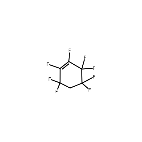 FC1=C(F)C(F)(F)C(F)(F)CC1(F)F